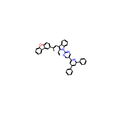 C=Cc1c(/C=C(\C)c2ccc3oc4ccccc4c3c2)c2ccccc2n1-c1ncc(-c2cc(-c3ccccc3)cc(-c3ccccc3)n2)cn1